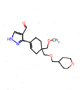 COCC1(COCC2CCOCC2)CC=C(c2n[nH]cc2C=O)CC1